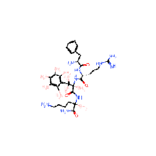 Bc1c(B)c(B)c(C(B)(B)[C@](B)(NC(=O)[C@@H](CCCNC(=N)N)NC(=O)[C@@H](N)Cc2ccccc2)C(=O)N[C@@](B)(CCCCN)C(N)=O)c(B)c1B